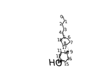 CCCCC[C@H]1CC[C@H](C=C2C=CC(O)=CC2)CC1